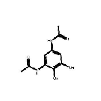 CC(=O)Nc1cc(O)c(O)c(NC(C)=O)c1